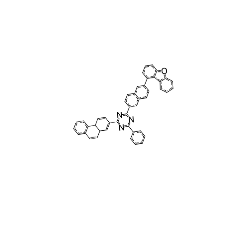 C1=CC2c3ccccc3C=CC2C=C1c1nc(-c2ccccc2)nc(-c2ccc3cc(-c4cccc5oc6ccccc6c45)ccc3c2)n1